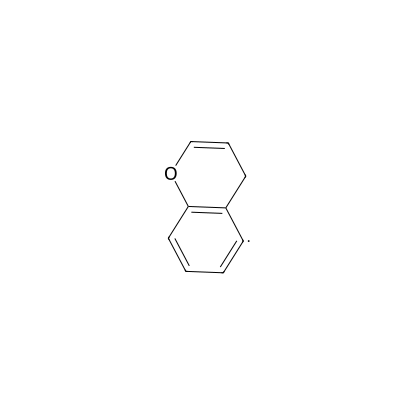 [c]1cccc2c1CC=CO2